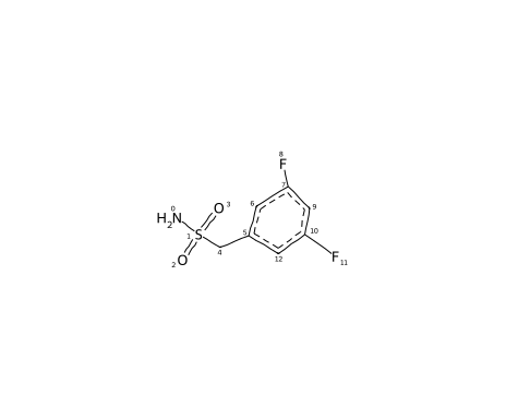 NS(=O)(=O)Cc1cc(F)cc(F)c1